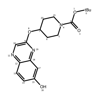 CC(C)(C)OC(=O)N1CCC(Oc2cnc3ccc(O)cc3n2)CC1